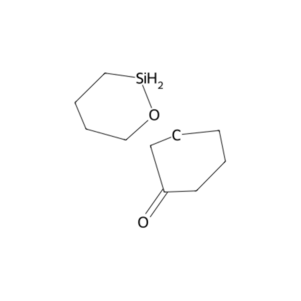 C1CC[SiH2]OC1.O=C1CCCCC1